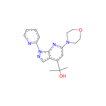 CC(C)(O)c1cc(N2CCOCC2)nc2c1cnn2-c1ccccn1